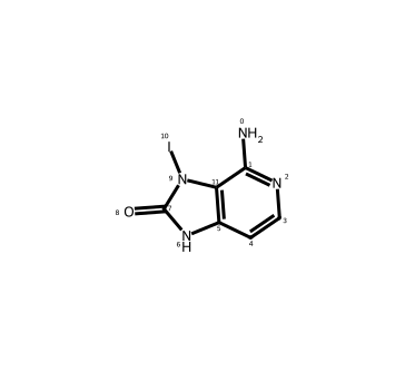 Nc1nccc2[nH]c(=O)n(I)c12